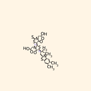 C/C(C=C1Sc2cc(C)c(C)cc2N1C)=c1\s/c(=C2/SC(=S)N(CC(=O)O)C2=O)n(CC(=O)O)c1=O